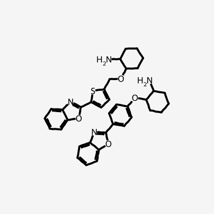 NC1CCCCC1OCc1ccc(-c2nc3ccccc3o2)s1.NC1CCCCC1Oc1ccc(-c2nc3ccccc3o2)cc1